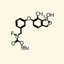 Cc1c(Oc2cccc(CN(F)C(=O)OC(C)(C)C)c2)ccc2c1B(O)OC2